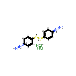 Cl.Cl.[N-]=[N+]=C1C=CC(SSC2=CCC(=[N+]=[N-])C=C2)=CC1